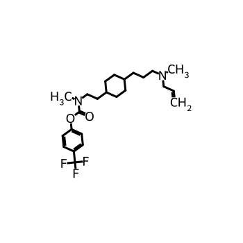 C=CCN(C)CCCC1CCC(CCN(C)C(=O)Oc2ccc(C(F)(F)F)cc2)CC1